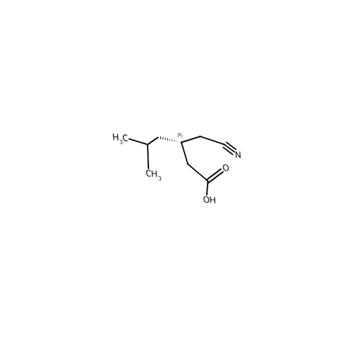 CC(C)C[C@H](CC#N)CC(=O)O